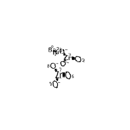 [Ba+2].[Ni+2].[O]=[Zr]([O-])[O-].[O]=[Zr]([O-])[O-]